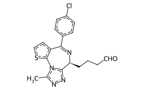 Cc1nnc2n1-c1sccc1C(c1ccc(Cl)cc1)=N[C@H]2CCCC=O